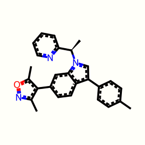 Cc1ccc(-c2cn([C@H](C)c3ccccn3)c3cc(-c4c(C)noc4C)ccc23)cc1